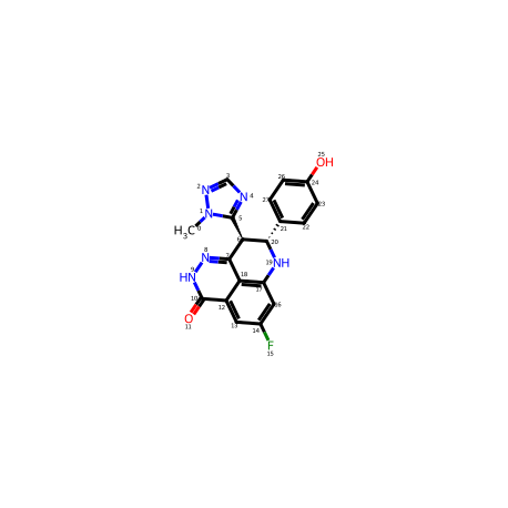 Cn1ncnc1[C@@H]1c2n[nH]c(=O)c3cc(F)cc(c23)N[C@H]1c1ccc(O)cc1